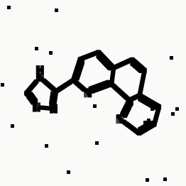 c1cnc2c(c1)ccc1ccc(-c3nnc[nH]3)nc12